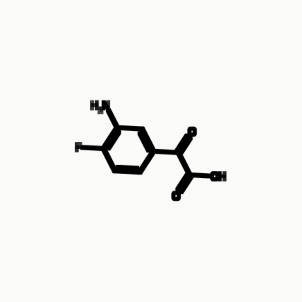 Nc1cc(C(=O)C(=O)O)ccc1F